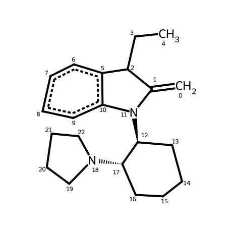 C=C1C(CC)c2ccccc2N1[C@H]1CCCC[C@@H]1N1CCCC1